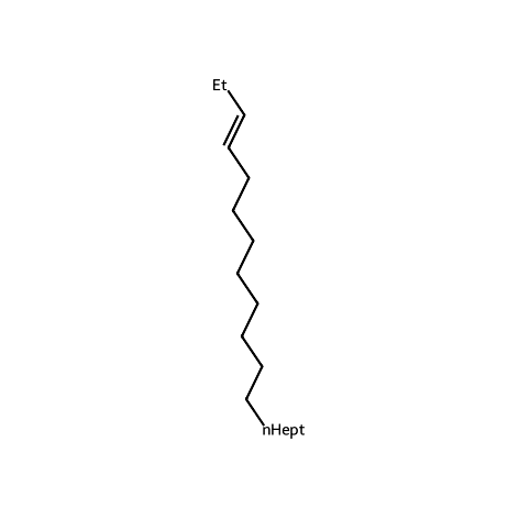 [CH2]CC=CCCCCCCCCCCCCCC[CH2]